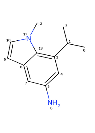 CC(C)c1cc(N)cc2ccn(C)c12